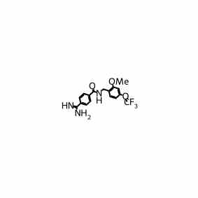 COc1cc(OC(F)(F)F)ccc1CNC(=O)c1ccc(C(=N)N)cc1